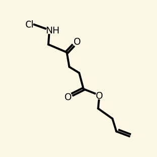 C=CCCOC(=O)CCC(=O)CNCl